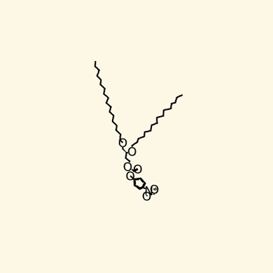 CCCCCCCCCCCCCCCCCCOC[C@H](CCOC(=O)Oc1ccc([N+](=O)[O-])cc1)OCCCCCCCCCCCCCCCC